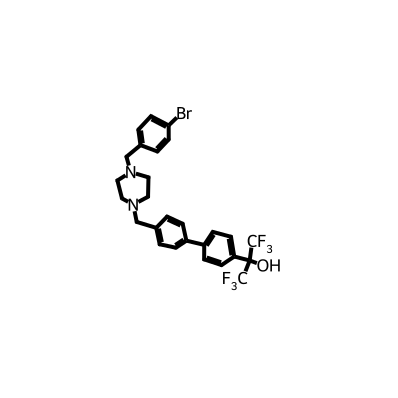 OC(c1ccc(-c2ccc(CN3CCN(Cc4ccc(Br)cc4)CC3)cc2)cc1)(C(F)(F)F)C(F)(F)F